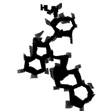 N[C@@H]1CCCN(c2nc3ccccc3n2Cc2ccc3ccncc3c2)C1